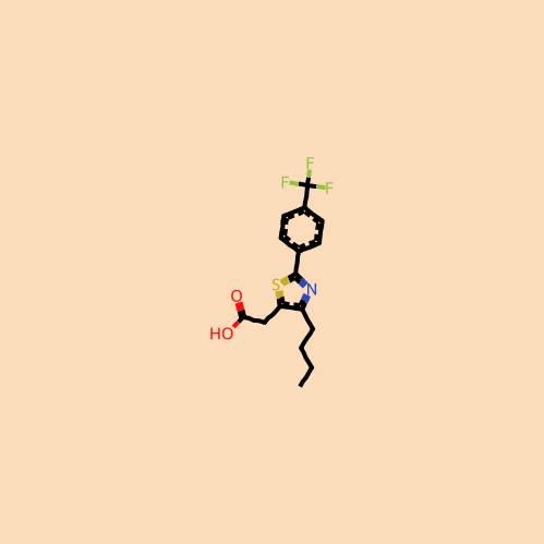 CCCCc1nc(-c2ccc(C(F)(F)F)cc2)sc1CC(=O)O